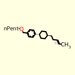 C/C=C/CC[C@H]1CC[C@H](c2ccc(COCCCCC)cc2)CC1